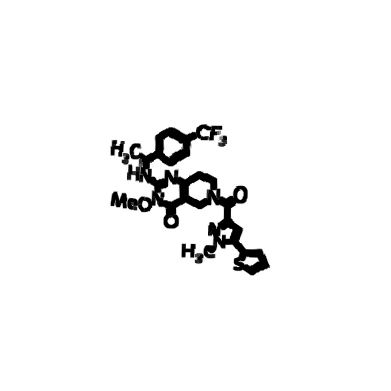 COn1c(N[C@@H](C)c2ccc(C(F)(F)F)cc2)nc2c(c1=O)CN(C(=O)c1cc(-c3cccs3)n(C)n1)CC2